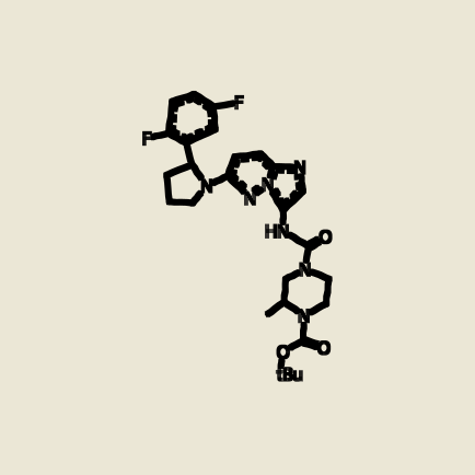 CC1CN(C(=O)Nc2cnc3ccc(N4CCCC4c4cc(F)ccc4F)nn23)CCN1C(=O)OC(C)(C)C